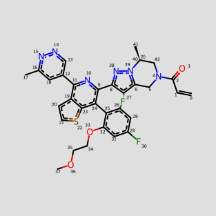 C=CC(=O)N1Cc2cc(-c3nc(-c4cnnc(C)c4)c4ccsc4c3-c3c(F)cc(F)cc3OCCOC)nn2[C@@H](C)C1